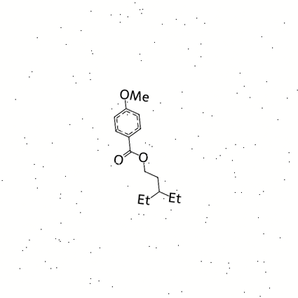 CCC(CC)CCOC(=O)c1ccc(OC)cc1